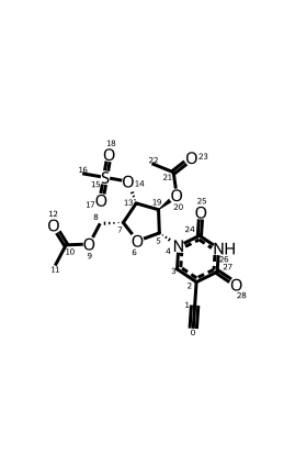 C#Cc1cn([C@@H]2O[C@H](COC(C)=O)[C@H](OS(C)(=O)=O)[C@H]2OC(C)=O)c(=O)[nH]c1=O